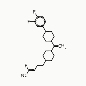 C=C(C1CCC(CCC=C(F)C#N)CC1)C1CCC(c2ccc(F)c(F)c2)CC1